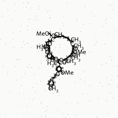 COCCO[C@H]1C[C@@H]2CC[C@@H](C)[C@@](O)(O2)C(=O)C(=O)N2CCCC[C@H]2C(=O)O[C@H]([C@H](C)C[C@@H]2CC[C@@H](OCCCN3CCN(C)CC3)[C@H](OC)C2)CC(=O)[C@H](C)/C=C(\C)[C@@H](O)[C@@H](OC)C(=O)[C@H](C)C[C@H](C)/C=C/C=C/C=C/1C